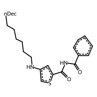 CCCCCCCCCCCCCCCCNc1csc(C(=O)NC(=O)c2ccccc2)c1